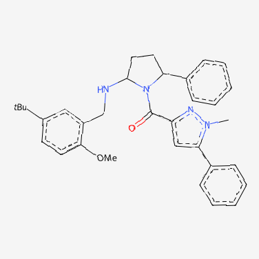 COc1ccc(C(C)(C)C)cc1CNC1CCC(c2ccccc2)N1C(=O)c1cc(-c2ccccc2)n(C)n1